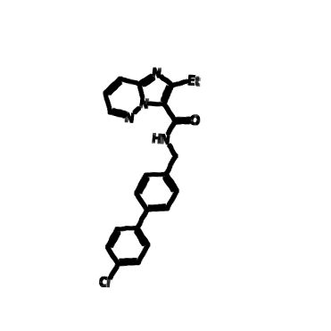 CCc1nc2cccnn2c1C(=O)NCc1ccc(-c2ccc(Cl)cc2)cc1